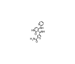 N=C(c1csc(C(N)=O)c1)c1c(Nc2ccccn2)cc[nH]c1=O